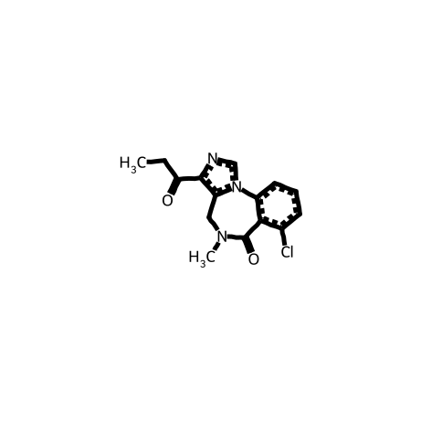 CCC(=O)c1ncn2c1CN(C)C(=O)c1c(Cl)cccc1-2